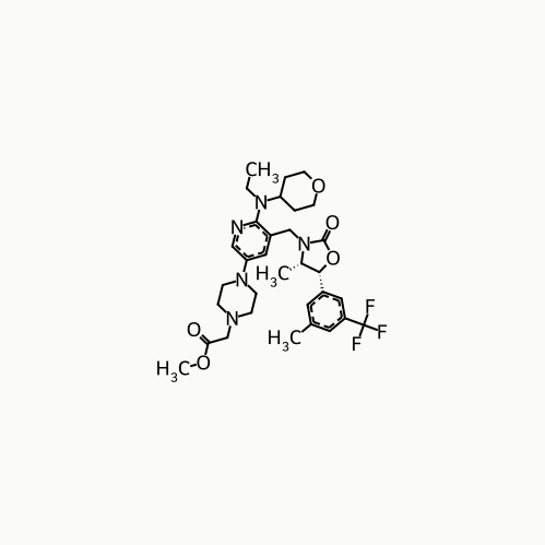 CCN(c1ncc(N2CCN(CC(=O)OC)CC2)cc1CN1C(=O)O[C@H](c2cc(C)cc(C(F)(F)F)c2)[C@@H]1C)C1CCOCC1